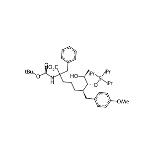 COc1ccc(C[C@@H](CCCC(Cc2ccccc2)(NC(=O)OC(C)(C)C)C(=O)O)[C@@H](O[Si](C(C)C)(C(C)C)C(C)C)[C@H](C)O)cc1